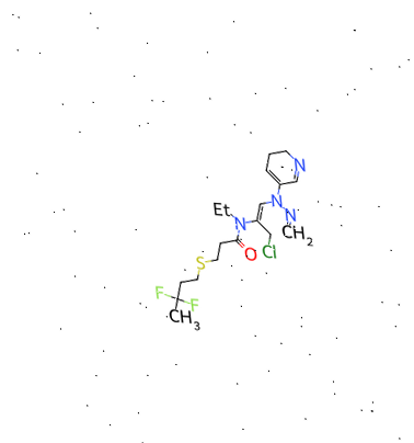 C=NN(/C=C(\CCl)N(CC)C(=O)CCSCCC(C)(F)F)C1=CCCN=C1